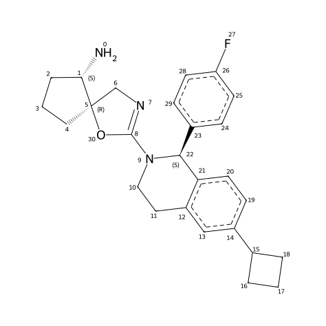 N[C@H]1CCC[C@@]12CN=C(N1CCc3cc(C4CCC4)ccc3[C@@H]1c1ccc(F)cc1)O2